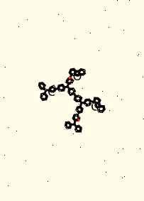 c1ccc(C(c2ccccc2)c2ccc(-c3ccc(C(c4ccc(-c5ccc(C(c6ccc(-c7ccc(C(c8ccccc8)c8ccccc8)cc7)cc6)c6ccc(-c7cccc8c7oc7ccccc78)cc6)cc5)cc4)c4ccc(-c5cccc6c5oc5ccccc56)cc4)cc3)cc2)cc1